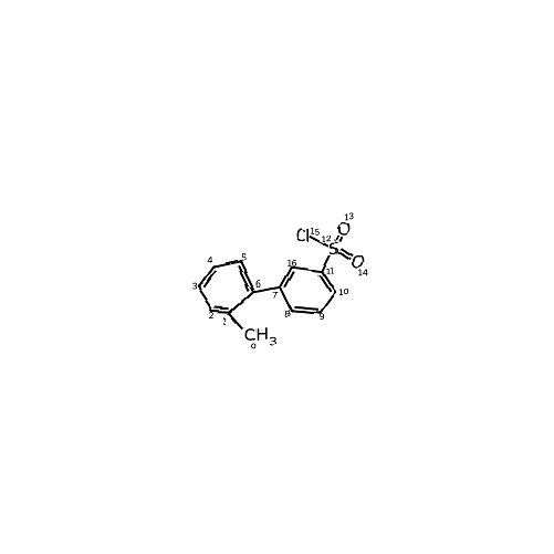 Cc1ccccc1-c1cccc(S(=O)(=O)Cl)c1